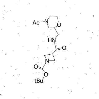 CC(=O)N1CCOC(CNC(=O)C2CN(C(=O)OC(C)(C)C)C2)C1